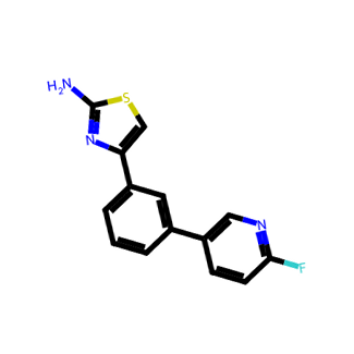 Nc1nc(-c2cccc(-c3ccc(F)nc3)c2)cs1